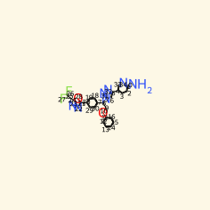 Nc1ccc(-c2cn(C(COc3ccccc3)c3ccc(-c4nnc(C(F)F)o4)cc3)nn2)cn1